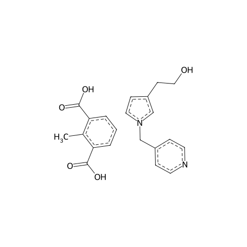 Cc1c(C(=O)O)cccc1C(=O)O.OCCc1ccn(Cc2ccncc2)c1